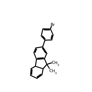 CC1(C)c2cc(-c3ccc(Br)cc3)ccc2C2C=CC=CC21